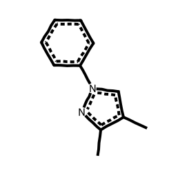 Cc1cn(-c2ccccc2)nc1C